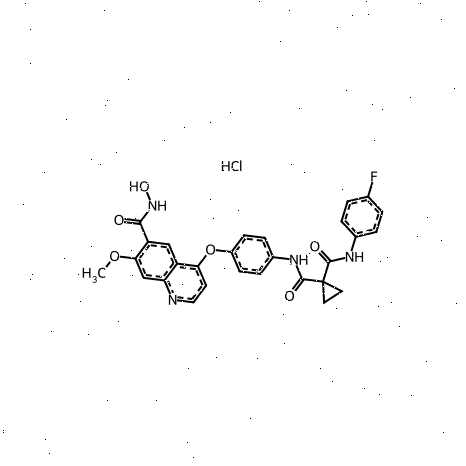 COc1cc2nccc(Oc3ccc(NC(=O)C4(C(=O)Nc5ccc(F)cc5)CC4)cc3)c2cc1C(=O)NO.Cl